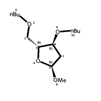 CCCCOC[C@H]1O[C@H](OC)C[C@@H]1OCCCC